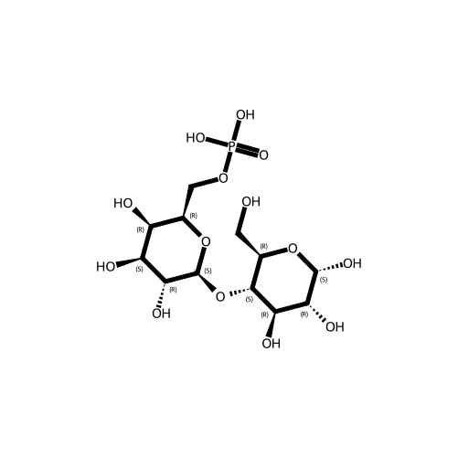 O=P(O)(O)OC[C@H]1O[C@@H](O[C@H]2[C@H](O)[C@@H](O)[C@@H](O)O[C@@H]2CO)[C@H](O)[C@@H](O)[C@H]1O